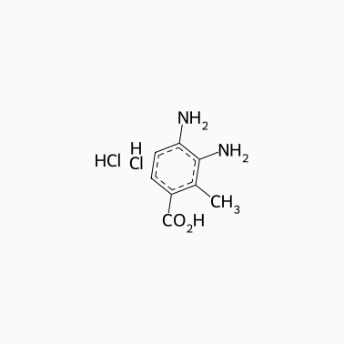 Cc1c(C(=O)O)ccc(N)c1N.Cl.Cl